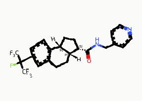 O=C(NCc1ccncc1)[C@H]1CC[C@H]2c3ccc(C(F)(C(F)(F)F)C(F)(F)F)cc3CC[C@@H]12